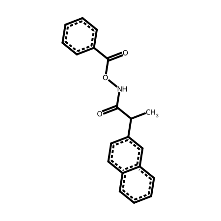 CC(C(=O)NOC(=O)c1ccccc1)c1ccc2ccccc2c1